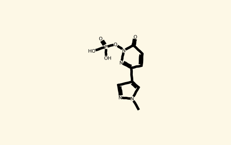 Cn1cc(-c2ccc(=O)n(OP(=O)(O)O)n2)cn1